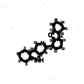 c1ccc2c(c1)[nH]c1cc(-c3cccc4c3oc3ccccc34)ncc12